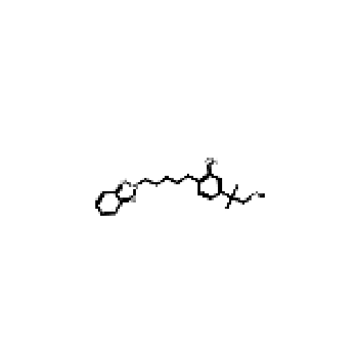 CC(C)(C)CC(C)(C)c1ccc(CCCCCn2nc3ccccc3n2)c(O)c1